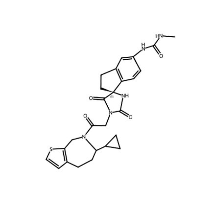 CNC(=O)Nc1ccc2c(c1)CC[C@]21NC(=O)N(CC(=O)N2Cc3sccc3CCC2C2CC2)C1=O